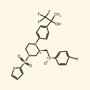 CC(O)(c1ccc(N2CCN(S(=O)(=O)c3cccs3)C[C@@H]2C[S@@+]([O-])c2ccc(F)cc2)cc1)C(F)(F)F